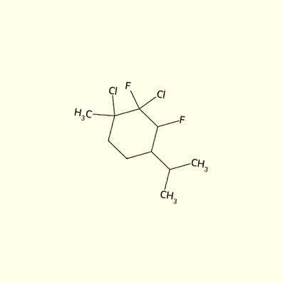 CC(C)C1CCC(C)(Cl)C(F)(Cl)C1F